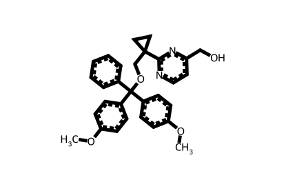 COc1ccc(C(OCC2(c3nccc(CO)n3)CC2)(c2ccccc2)c2ccc(OC)cc2)cc1